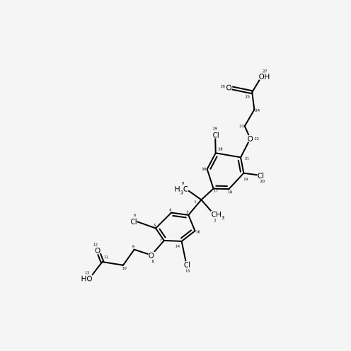 CC(C)(c1cc(Cl)c(OCCC(=O)O)c(Cl)c1)c1cc(Cl)c(OCCC(=O)O)c(Cl)c1